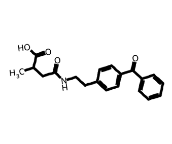 CC(CC(=O)NCCc1ccc(C(=O)c2ccccc2)cc1)C(=O)O